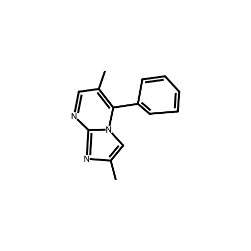 Cc1cn2c(-c3ccccc3)c(C)cnc2n1